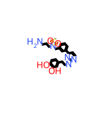 CN(CCc1ccc(O)c(O)c1)c1nccc(-c2cccc(CN(CCCN)S(C)(=O)=O)c2)n1